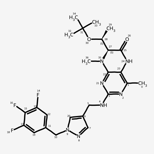 Cc1nc(NCc2cnn(Cc3cc(F)c(F)c(F)c3)c2)nc2c1NC(=O)[C@H]([C@H](C)OC(C)(C)C)N2C